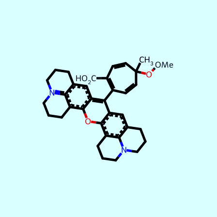 COOC1(C)C=CC(C(=O)O)=C(C2=c3cc4c5c(c3Oc3c2cc2c6c3CCCN6CCC2)CCC[N+]=5CCC4)C=C1